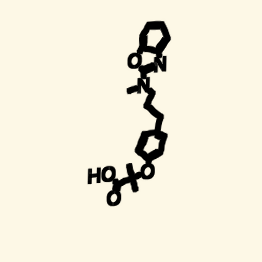 CN(CCCc1ccc(OC(C)(C)C(=O)O)cc1)c1nc2ccccc2o1